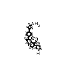 Nc1nc(-c2ccc(C3(C(=O)c4nccc5c4C(=O)OC54CCNC4)CC3)cc2)cs1